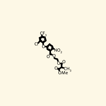 COC(=O)C(C)C(=O)OCCOC(=O)c1cc(Oc2ccc(C(F)(F)F)cc2Cl)ccc1[N+](=O)[O-]